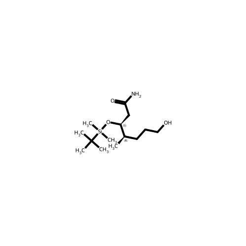 C[C@H](CCCO)[C@H](CC(N)=O)O[Si](C)(C)C(C)(C)C